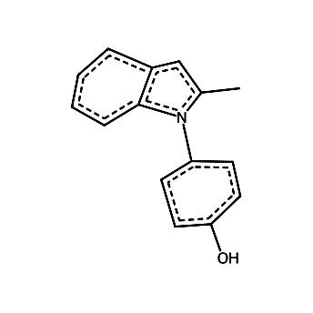 Cc1cc2ccccc2n1-c1ccc(O)cc1